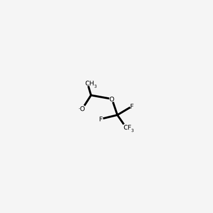 CC([O])OC(F)(F)C(F)(F)F